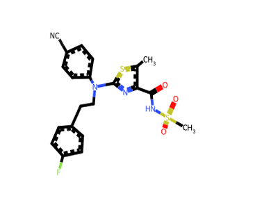 Cc1sc(N(CCc2ccc(F)cc2)c2ccc(C#N)cc2)nc1C(=O)NS(C)(=O)=O